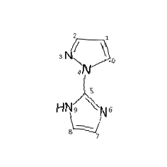 [c]1ccnn1-c1ncc[nH]1